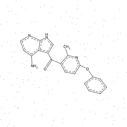 Cc1nc(Oc2ccccc2)ccc1C(=O)c1c[nH]c2nccc(N)c12